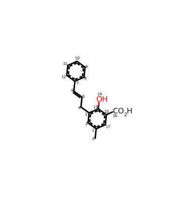 Cc1cc(CC=Cc2ccccc2)c(O)c(C(=O)O)c1